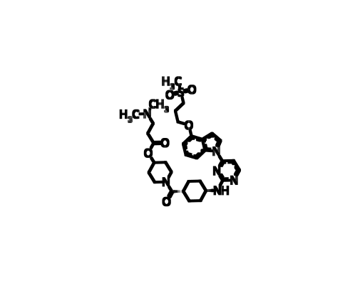 CN(C)CCC(=O)OC1CCN(C(=O)[C@H]2CC[C@H](Nc3nccc(-n4ccc5c(OCCCS(C)(=O)=O)cccc54)n3)CC2)CC1